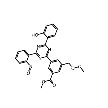 COOCc1cc(C(=O)OC)cc(-c2nc(-c3ccccc3O)nc(-c3ccccc3N=O)n2)c1